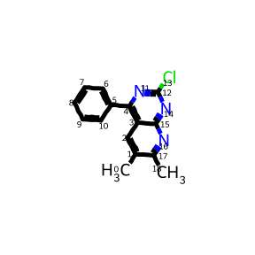 Cc1cc2c(-c3ccccc3)nc(Cl)nc2nc1C